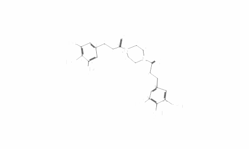 CC(C)(C)c1cc(CCC(=O)N2CCN(C(=O)CCc3cc(C(C)(C)C)c(O)c(C(C)(C)C)c3)CC2)cc(C(C)(C)C)c1O